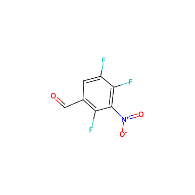 O=Cc1cc(F)c(F)c([N+](=O)[O-])c1F